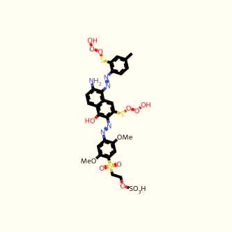 COc1cc(S(=O)(=O)CCOS(=O)(=O)O)c(OC)cc1N=Nc1c(SOOO)cc2c(N=Nc3ccc(C)cc3SOOO)c(N)ccc2c1O